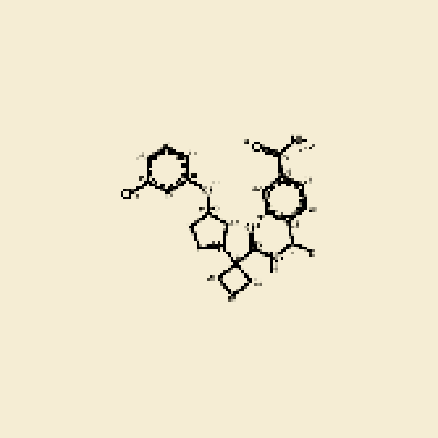 CC(NC(=O)C1(N2CC[C@@H](Oc3cccc(Cl)c3)C2)CCC1)c1ccc(C(N)=O)cc1